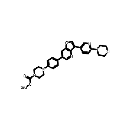 CC(C)(C)OC(=O)N1CCN(c2ccc(-c3cnc4c(-c5ccc(N6CCOCC6)nc5)coc4c3)cc2)CC1